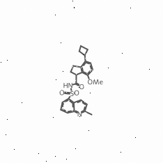 COc1ccc(C2CCC2)c2c1C(C(=O)NS(=O)(=O)c1cccc3nc(C)ccc13)CC2